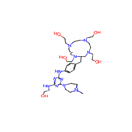 CN1CCN(c2nc(NCCO)nc(Nc3ccc(CC4CN(CCO)CCN(CCO)CCN(CCO)CCN4CCO)cc3)n2)CC1